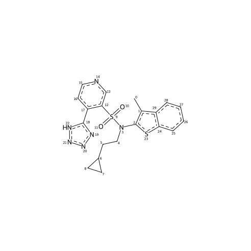 Cc1c(N(CCC2CC2)S(=O)(=O)c2cnccc2-c2nnn[nH]2)sc2ccccc12